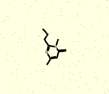 C=C1C=C(C)N=C(CCC)N1C